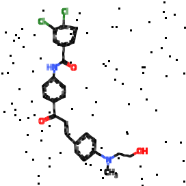 CN(CCO)c1ccc(/C=C/C(=O)c2ccc(NC(=O)c3ccc(Cl)c(Cl)c3)cc2)cc1